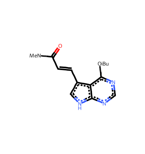 CNC(=O)C=Cc1c[nH]c2ncnc(OCC(C)C)c12